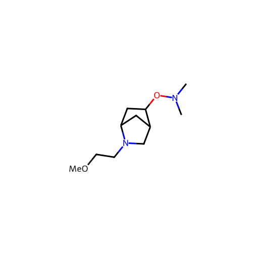 COCCN1CC2CC1CC2ON(C)C